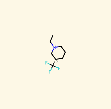 CCN1CCC[C@H](C(F)(F)F)C1